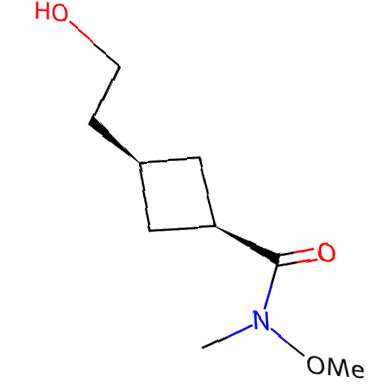 CON(C)C(=O)[C@H]1C[C@@H](CCO)C1